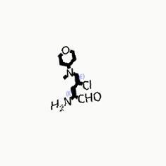 CN(/C=C(Cl)\C=C(\N)C=O)C1CCOCC1